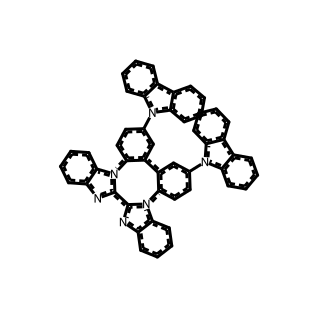 c1ccc2c(c1)nc1c3nc4ccccc4n3c3ccc(-n4c5ccccc5c5ccccc54)cc3c3cc(-n4c5ccccc5c5ccccc54)ccc3n21